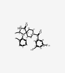 Cc1ccccc1N1C(C)NC(=O)C12CCN(C(=O)c1cc(F)cc(F)c1)CC2